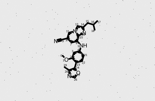 COc1cc(Nc2cc(C#N)cn3cc(CC(C)C)nc23)ccc1-c1ocnc1C